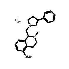 COc1cccc2c1CCN(C)C2CN1CCC(c2ccccc2)C1.Cl.Cl